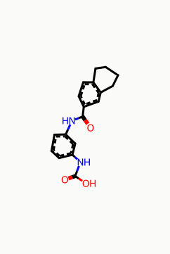 O=C(O)Nc1cccc(NC(=O)c2ccc3c(c2)CCCC3)c1